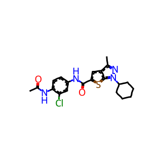 CC(=O)Nc1ccc(NC(=O)c2cc3c(C)nn(C4CCCCC4)c3s2)cc1Cl